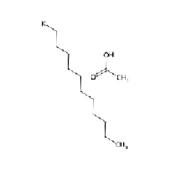 CC(=O)O.CCCCCCCCCC[CH2][K]